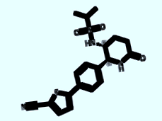 CC(C)S(=O)(=O)N[C@@H]1CCC(=O)N[C@H]1c1ccc(-c2ccc(C#N)s2)cc1